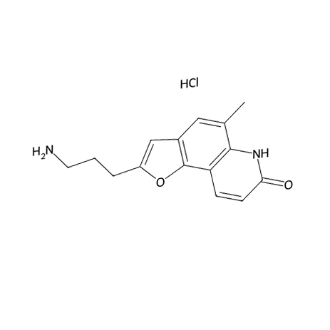 Cc1cc2cc(CCCN)oc2c2ccc(=O)[nH]c12.Cl